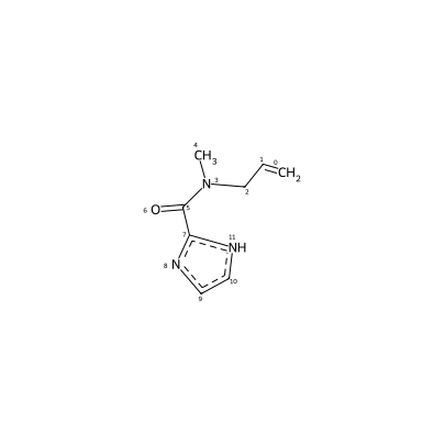 C=CCN(C)C(=O)c1ncc[nH]1